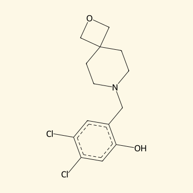 Oc1cc(Cl)c(Cl)cc1CN1CCC2(CC1)COC2